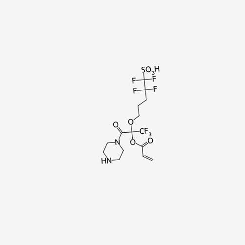 C=CC(=O)OC(OCCCC(F)(F)C(F)(F)S(=O)(=O)O)(C(=O)N1CCNCC1)C(F)(F)F